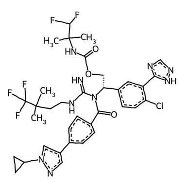 CC(C)(NC(=O)OC[C@H](c1ccc(Cl)c(-c2ncn[nH]2)c1)N(C(=N)NCCC(C)(C)C(F)(F)F)C(=O)c1ccc(-c2cnn(C3CC3)c2)cc1)C(F)F